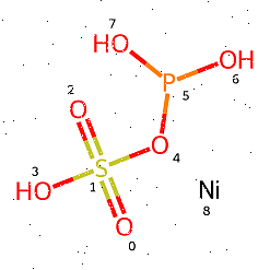 O=S(=O)(O)OP(O)O.[Ni]